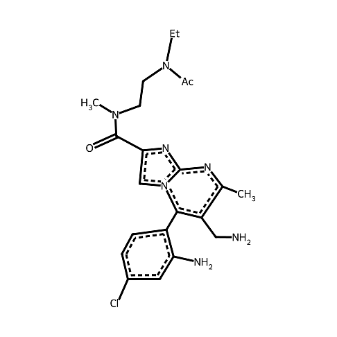 CCN(CCN(C)C(=O)c1cn2c(-c3ccc(Cl)cc3N)c(CN)c(C)nc2n1)C(C)=O